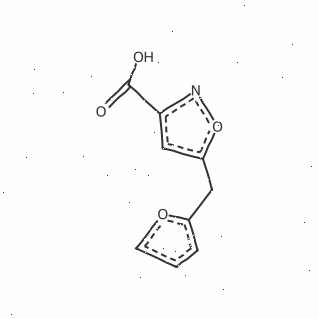 O=C(O)c1cc(Cc2ccco2)on1